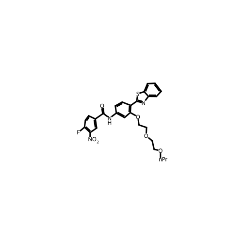 CCCOCCOCCOc1cc(NC(=O)c2ccc(F)c([N+](=O)[O-])c2)ccc1-c1nc2ccccc2s1